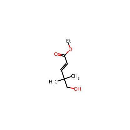 CCOC(=O)C=CC(C)(C)CO